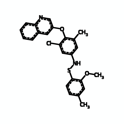 COc1cc(C)ccc1SNc1cc(C)c(Oc2cnc3ccccc3c2)c(Cl)c1